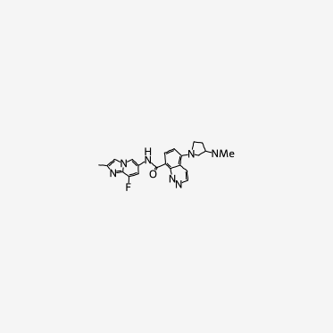 CNC1CCN(c2ccc(C(=O)Nc3cc(F)c4nc(C)cn4c3)c3nnccc23)C1